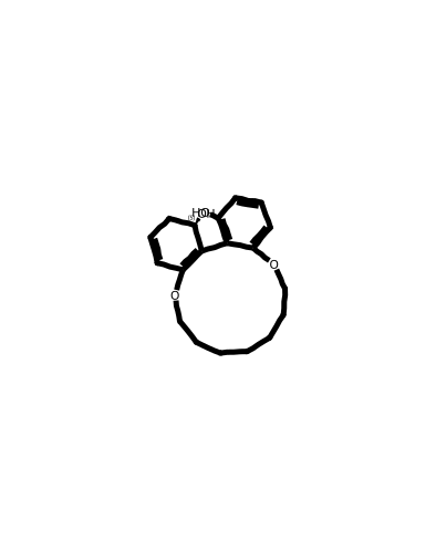 Oc1cccc2c1C1=C(C=CC[C@@H]1O)OCCCCCCCO2